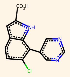 O=C(O)c1cc2ccc(Cl)c(-c3cncnc3)c2[nH]1